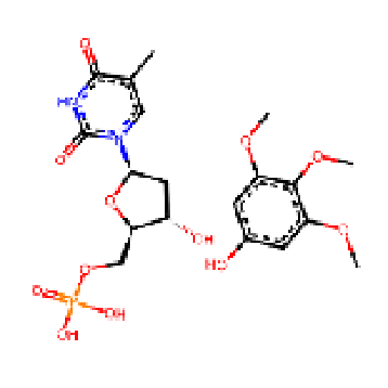 COc1cc(O)cc(OC)c1OC.Cc1cn([C@H]2C[C@H](O)[C@@H](COP(=O)(O)O)O2)c(=O)[nH]c1=O